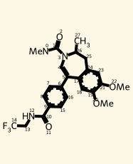 CNC(=O)N1C=C(c2ccc(C(=O)NCC(F)(F)F)cc2)c2cc(OC)c(OC)cc2CC1C